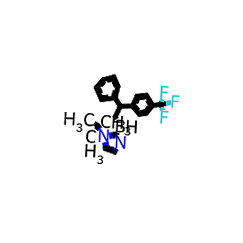 CC(C)(C)n1ccnc1BCC(c1ccccc1)c1ccc(C(F)(F)F)cc1